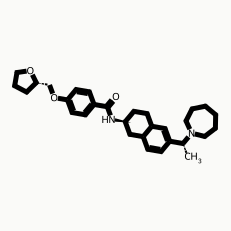 C[C@H](C1=CC2CC[C@H](NC(=O)c3ccc(OC[C@@H]4CCCO4)cc3)CC2C=C1)N1CCCCCC1